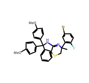 COc1ccc(C(NC2=NC(C)(c3cc(Br)ccc3F)CSC2)(c2ccccc2)c2ccc(OC)cc2)cc1